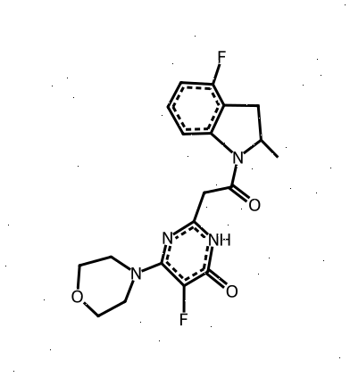 CC1Cc2c(F)cccc2N1C(=O)Cc1nc(N2CCOCC2)c(F)c(=O)[nH]1